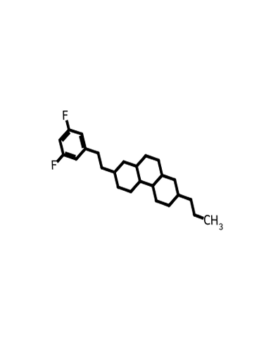 CCCC1CCC2C(CCC3CC(CCc4cc(F)cc(F)c4)CCC32)C1